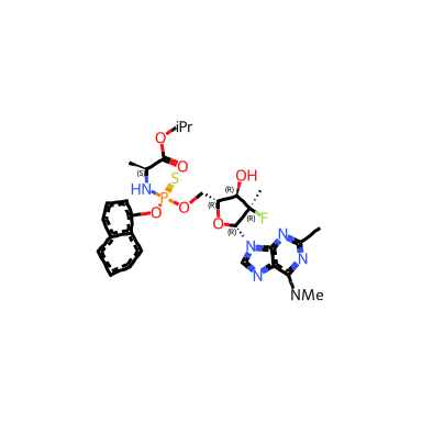 CNc1nc(C)nc2c1ncn2[C@@H]1O[C@H](COP(=S)(N[C@@H](C)C(=O)OC(C)C)Oc2cccc3ccccc23)[C@@H](O)[C@@]1(C)F